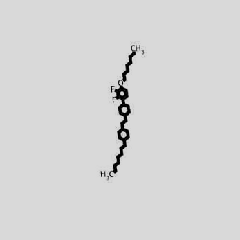 CCCCCCCCOc1ccc(C2CCC(CCC3CCC(CCCCCCCC)CC3)CC2)c(F)c1F